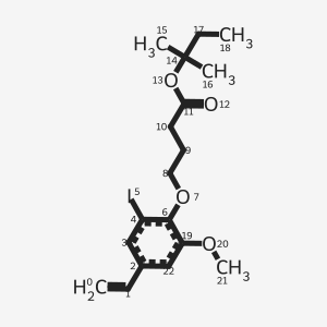 C=Cc1cc(I)c(OCCCC(=O)OC(C)(C)CC)c(OC)c1